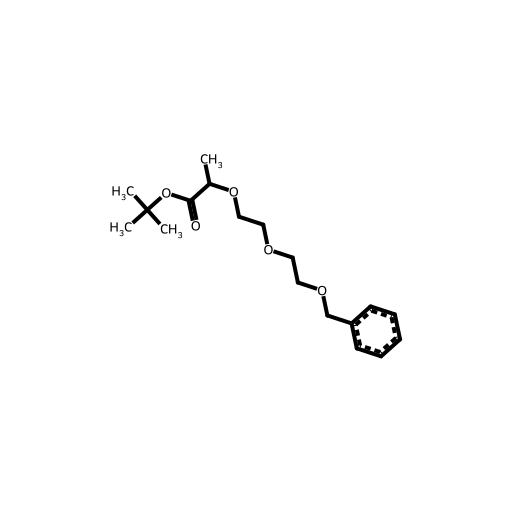 CC(OCCOCCOCc1ccccc1)C(=O)OC(C)(C)C